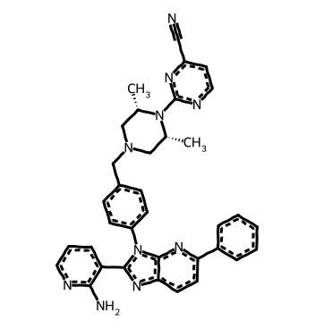 C[C@@H]1CN(Cc2ccc(-n3c(-c4cccnc4N)nc4ccc(-c5ccccc5)nc43)cc2)C[C@H](C)N1c1nccc(C#N)n1